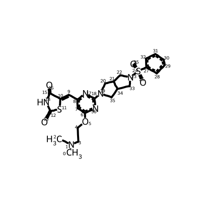 CN(C)CCOc1cc(/C=C2\SC(=O)NC2=O)nc(N2CC3CN(S(=O)(=O)c4ccccc4)CC3C2)n1